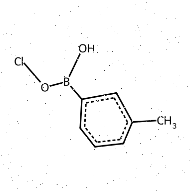 Cc1cccc(B(O)OCl)c1